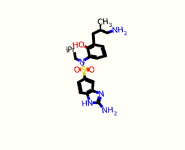 CC(C)CN(c1cccc(C[C@@H](C)CN)c1O)S(=O)(=O)c1ccc2[nH]c(N)nc2c1